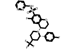 O=S(=O)(Nc1cccnn1)c1cc2c(cc1F)[C@@H](N1CCC(C(F)(F)F)C[C@H]1c1ccc(F)cc1)CCO2